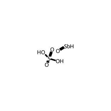 O=S(=O)(O)O.[O]=[SbH]